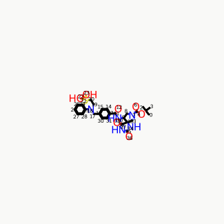 CC(C)(C)OC(=O)N1CC(NC(=O)c2ccc(CN3CCS(O)(O)c4ccccc43)cc2)C2(C1)NC(=O)NC2=O